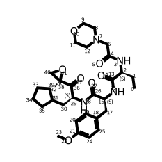 CC[C@H](NC(=O)CN1CCOCC1)C(=O)N[C@@H](Cc1ccc(OC)cc1)C(=O)N[C@@H](CC1CCCC1)C(=O)[C@@]1(C)CO1